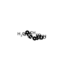 COc1cccc(OC)c1CN1CCN(c2ccc3c(c2)C(=O)N(C2CCC(=O)NC2=O)C3)CC1